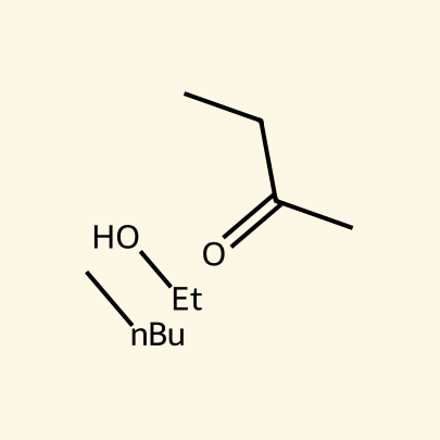 CCC(C)=O.CCCCC.CCO